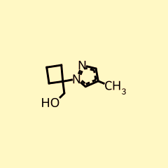 Cc1cnn(C2(CO)CCC2)c1